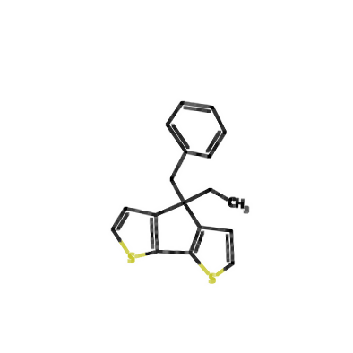 CCC1(Cc2ccccc2)c2ccsc2-c2sccc21